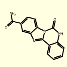 NC(=O)c1ccc2c(c1)nc1c3ccccc3[nH]c(=O)n21